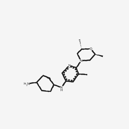 Cc1cc(NC2CCC(N)CC2)cnc1N1C[C@H](C)O[C@@H](C)C1